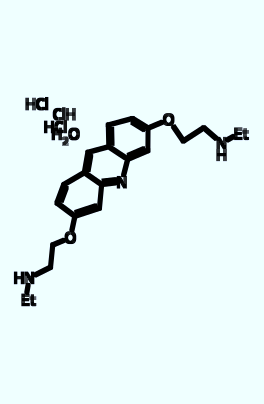 CCNCCOc1ccc2cc3ccc(OCCNCC)cc3nc2c1.Cl.Cl.Cl.O